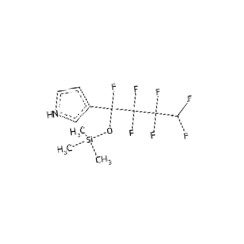 C[Si](C)(C)OC(F)(c1cc[nH]c1)C(F)(F)C(F)(F)C(F)F